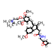 COc1ccc2c(c1)C(CC(=O)NCc1ccco1)=C(C)/C2=C/c1cc(OC)c(OCCN(C)C)c(OC)c1